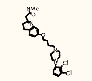 CNC(=O)CC1=Nc2cc(OCCCCN3CCN(c4cccc(Cl)c4Cl)CC3)ccc2CC1